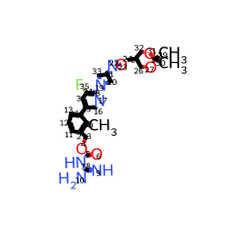 Cc1c(COC(=O)NC(=N)N)cccc1-c1cnc(N2CC(=NOCC3COC(C)(C)OC3)C2)c(F)c1